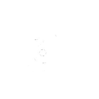 CCCC(C)OC(=O)OCCN[C@@H](Cc1ccc(OC(=O)C(C)CC)c(OC(=O)C(C)CC)c1)C(=O)OC